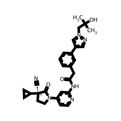 CC(C)(O)Cn1cc(-c2cccc(CC(=O)Nc3cc(N4CC[C@@](C#N)(C5CC5)C4=O)ccn3)c2)cn1